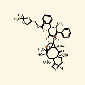 CC(=O)O[C@@]12CO[C@@H]1C[C@H](O)[C@@]1(C)C(=O)[C@]3(OC(C)=O)C4C(C)(C)[C@@](O)(C[C@H](OC(=O)[C@H](OC(=O)OC[C@@H]5COC(C)(C)O5)[C@H](c5ccccc5)N(C)C(=O)c5ccccc5)C43C)[C@@H](O)C12